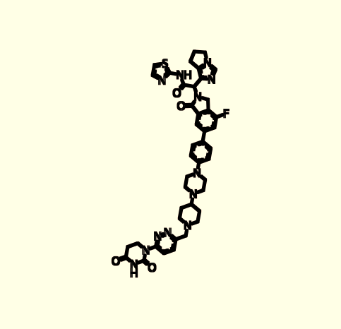 O=C1CCN(c2ccc(CN3CCC(N4CCN(c5ccc(-c6cc(F)c7c(c6)C(=O)N(C(C(=O)Nc6nccs6)c6ncn8c6CCC8)C7)cc5)CC4)CC3)nn2)C(=O)N1